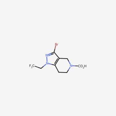 O=C(O)N1CCc2c(c(Br)nn2CC(F)(F)F)C1